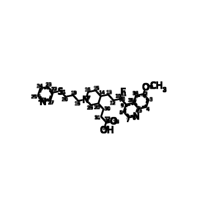 COc1ccc2nccc([C@@H](F)CCC3CCN(CCCSc4cccnc4)CC3CCC(=O)O)c2c1